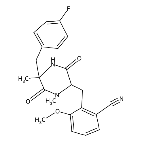 COc1cccc(C#N)c1CC1C(=O)NC(C)(Cc2ccc(F)cc2)C(=O)N1C